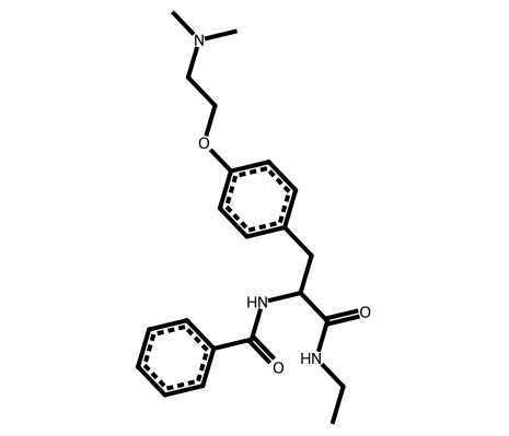 CCNC(=O)C(Cc1ccc(OCCN(C)C)cc1)NC(=O)c1ccccc1